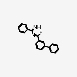 N=C(/N=C(\F)c1cccc(-c2ccccc2)c1)c1ccccc1